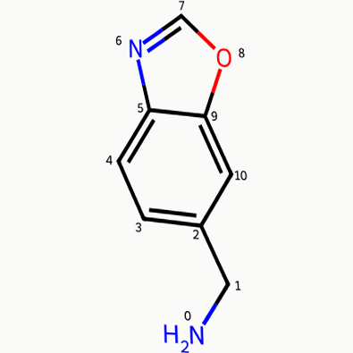 NCc1ccc2ncoc2c1